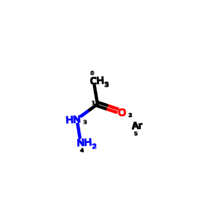 CC(=O)NN.[Ar]